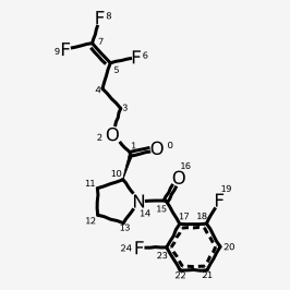 O=C(OCCC(F)=C(F)F)[C@@H]1CCCN1C(=O)c1c(F)cccc1F